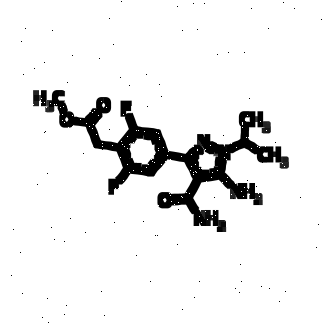 COC(=O)Cc1c(F)cc(-c2nn(C(C)C)c(N)c2C(N)=O)cc1F